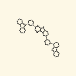 c1cc(-c2ccc3sc4nc(-c5cccc(-n6c7ccccc7c7ccccc76)c5)cnc4c3c2)cc(-c2cccc3c2sc2ccccc23)c1